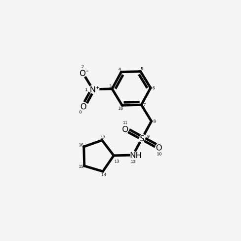 O=[N+]([O-])c1cccc(CS(=O)(=O)NC2CCCC2)c1